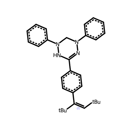 CC(C)(C)/C=C(\c1ccc(C2=NN(c3ccccc3)CN(c3ccccc3)N2)cc1)C(C)(C)C